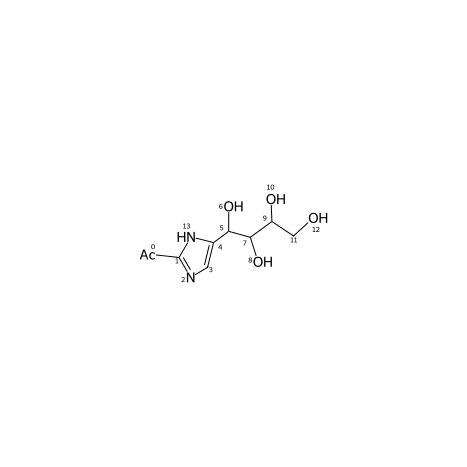 CC(=O)c1ncc(C(O)C(O)C(O)CO)[nH]1